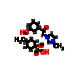 CN1C=CN(CC(=O)c2cccc(O)c2)C1.Cc1ccc(S(=O)(=O)O)cc1